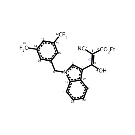 CCOC(=O)/C(C#N)=C(\O)c1cn(Cc2cc(C(F)(F)F)cc(C(F)(F)F)c2)c2ccccc12